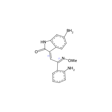 Bc1ccc2c(c1)NC(=O)/C2=C/C(=N/OC)c1ccccc1N